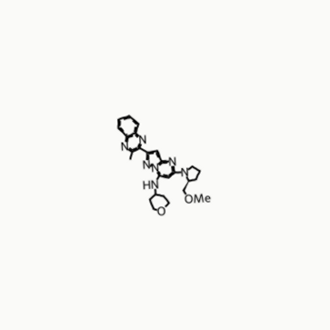 COC[C@@H]1CCCN1c1cc(NC2CCOCC2)n2nc(-c3nc4ccccc4nc3C)cc2n1